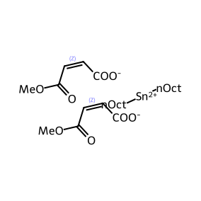 CCCCCCC[CH2][Sn+2][CH2]CCCCCCC.COC(=O)/C=C\C(=O)[O-].COC(=O)/C=C\C(=O)[O-]